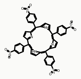 O=[SH](=O)c1ccc(-c2c3nc(c(-c4ccc([SH](=O)=O)cc4)c4ccc([nH]4)c(-c4ccc([SH](=O)=O)cc4)c4nc(c(-c5ccc([SH](=O)=O)cc5)c5ccc2[nH]5)C=C4)C=C3)cc1